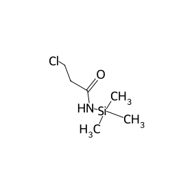 C[Si](C)(C)NC(=O)CCCl